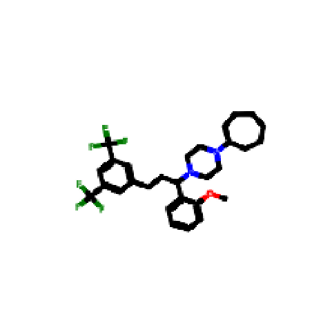 COc1ccccc1C([CH]Cc1cc(C(F)(F)F)cc(C(F)(F)F)c1)N1CCN(C2CCCCCC2)CC1